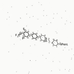 CCCCC[C@H]1CC[C@H](CC[Si@H]2CC[C@H](c3ccc(-c4cc(F)c(OC(F)(F)F)c(F)c4)cc3)CC2)CC1